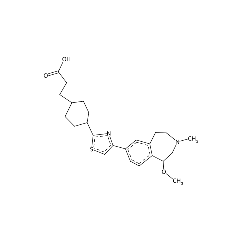 COC1CN(C)CCc2cc(-c3csc(C4CCC(CCC(=O)O)CC4)n3)ccc21